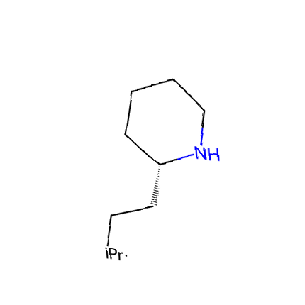 C[C](C)CC[C@@H]1CCCCN1